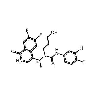 C[C@@H](c1c[nH]c(=O)c2cc(F)c(F)cc12)N(CCCO)C(=O)Nc1ccc(F)c(Cl)c1